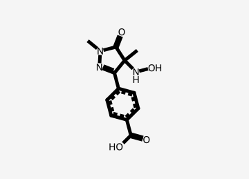 CN1N=C(c2ccc(C(=O)O)cc2)C(C)(NO)C1=O